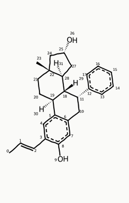 CC=Cc1cc2c(cc1O)C[C@@H](c1ccccc1)[C@@H]1[C@@H]2CC[C@]2(C)C[C@H](O)C[C@@H]12